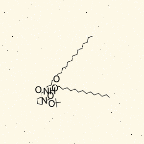 CCCCCCCCCCCCCCOCC(CNC(=O)[C@H]1CCCN1C(=O)OC(C)(C)C)OCCCCCCCCCCCCCC